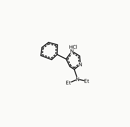 CCN(CC)c1cc(-c2ccccc2)ncn1.Cl